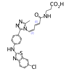 Cc1nnc(-c2ccc(Nc3nc4ccc(Cl)cc4s3)cc2)n1/C=C\C=C\C(=O)NCCC(=O)O